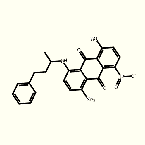 CC(CCc1ccccc1)Nc1ccc(N)c2c1C(=O)c1c(O)ccc([N+](=O)[O-])c1C2=O